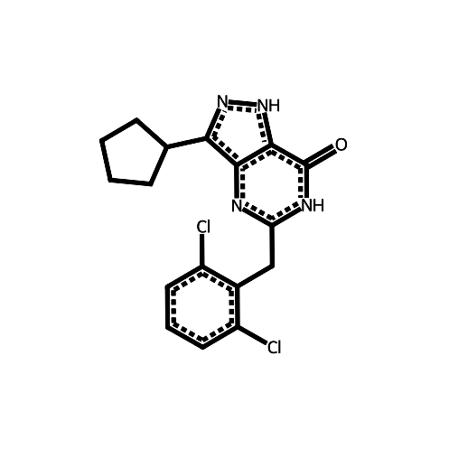 O=c1[nH]c(Cc2c(Cl)cccc2Cl)nc2c(C3CCCC3)n[nH]c12